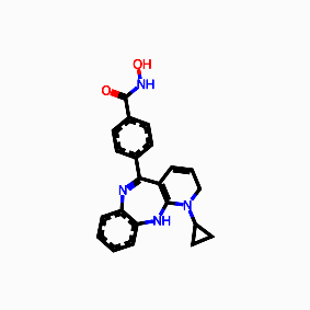 O=C(NO)c1ccc(C2=Nc3ccccc3NC3=C2C=CCN3C2CC2)cc1